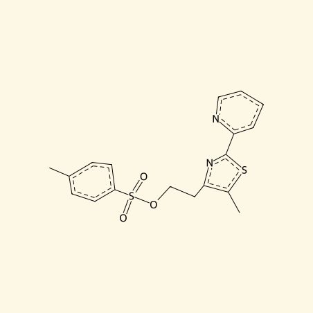 Cc1ccc(S(=O)(=O)OCCc2nc(-c3ccccn3)sc2C)cc1